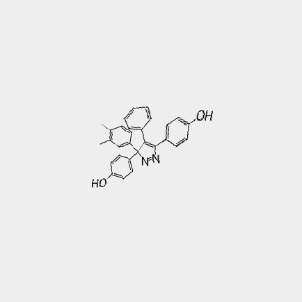 Cc1ccc(C2(c3ccc(O)cc3)N=NC(c3ccc(O)cc3)=C2c2ccccc2)cc1C